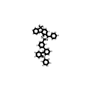 CC1(C)c2ccccc2-c2c1ccc1c(-c3ccccc3)nc(-c3cccc(-c4cccc5c4c4ccccc4n5-c4ccccc4)c3)nc21